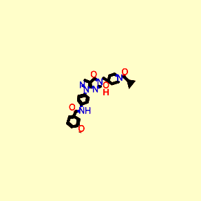 COc1cccc(C(=O)Nc2ccc(-n3ncc4c(=O)n(CC5(O)CCN(C(=O)C6CC6)CC5)cnc43)cc2)c1